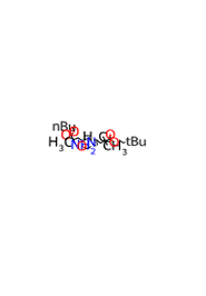 CCCCOC(=O)C(C)(N)CC1CN(CCC(C)(C)C(=O)OCCC(C)(C)C)CCO1